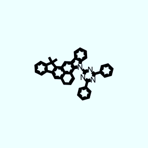 CC1(C)c2ccccc2-c2cc3c4c(c5c(cc4c21)c1ccccc1n5-c1nc(-c2ccccc2)nc(-c2ccccc2)n1)C=CC3